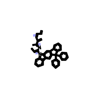 C=C/C=C\C(=C)/C(C)=N/C(=C\C)n1c2ccccc2c2cc3c(cc21)-c1ccccc1C3(c1ccccc1)c1ccccc1